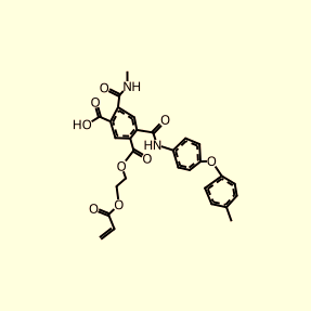 C=CC(=O)OCCOC(=O)c1cc(C(=O)O)c(C(=O)NC)cc1C(=O)Nc1ccc(Oc2ccc(C)cc2)cc1